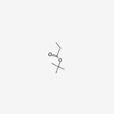 C[CH]C(=O)OC(C)(C)C